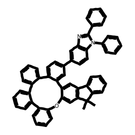 CC1(C)c2ccccc2-c2cc3c(cc21)Oc1ccccc1-c1ccccc1-c1ccccc1-c1ccc(-c2ccc4c(c2)nc(-c2ccccc2)n4-c2ccccc2)cc1-3